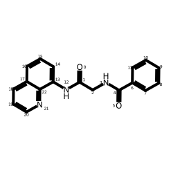 O=C(CNC(=O)c1ccccc1)Nc1cccc2cccnc12